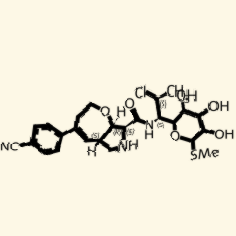 CSC1OC([C@H](NC(=O)[C@H]2NC[C@@H]3C=C(c4ccc(C#N)cc4)CCO[C@@H]23)[C@H](C)Cl)C(O)C(O)C1O